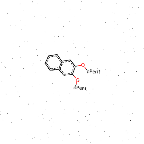 CCCCCOc1cc2ccccc2cc1OCCCCC